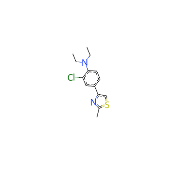 CCN(CC)c1ccc(-c2csc(C)n2)cc1Cl